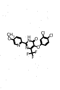 COc1ccc(-c2nc(C(F)(F)F)c(Oc3ccc(Cl)c(Cl)c3)c(=O)[nH]2)nc1